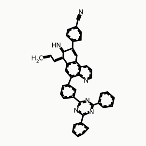 C=C/C=C1\C(=N)C(c2ccc(C#N)cc2)=Cc2c1cc(-c1cccc(-c3nc(-c4ccccc4)nc(-c4ccccc4)n3)c1)c1ncccc21